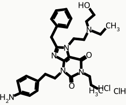 CCCn1c(=O)c2c(nc(Cc3ccccc3)n2CCN(CC)CCO)n(CCc2ccc(N)cc2)c1=O.Cl.Cl